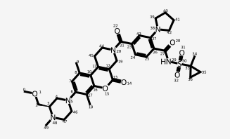 COC[C@H]1CN(c2cc(C)c3c4c(c(=O)oc3c2C)CN(C(=O)c2ccc(C(=O)NS(=O)(=O)C3(C)CC3)c(N3CCCC3)c2)CC4)CCN1C